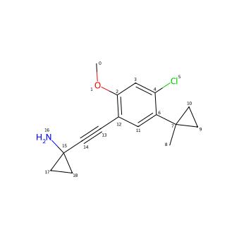 COc1cc(Cl)c(C2(C)CC2)cc1C#CC1(N)CC1